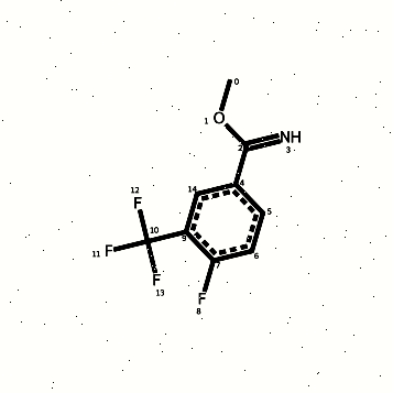 COC(=N)c1ccc(F)c(C(F)(F)F)c1